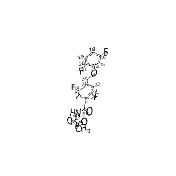 CS(=O)(=O)NC(=O)c1cc(F)c(COc2cc(F)ccc2F)cc1F